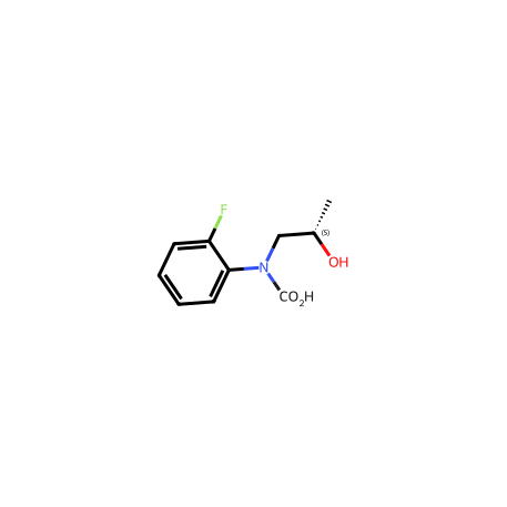 C[C@H](O)CN(C(=O)O)c1ccccc1F